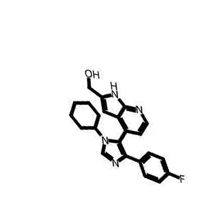 OCc1cc2c(-c3c(-c4ccc(F)cc4)ncn3C3CCCCC3)ccnc2[nH]1